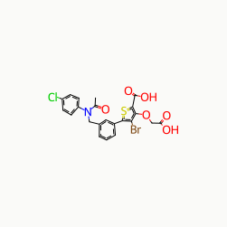 CC(=O)N(Cc1cccc(-c2sc(C(=O)O)c(OCC(=O)O)c2Br)c1)c1ccc(Cl)cc1